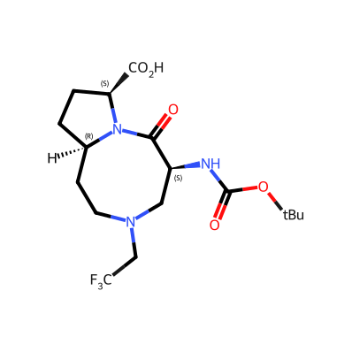 CC(C)(C)OC(=O)N[C@H]1CN(CC(F)(F)F)CC[C@H]2CC[C@@H](C(=O)O)N2C1=O